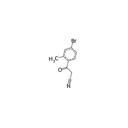 Cc1cc(Br)ccc1C(=O)CC#N